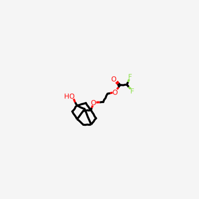 O=C(OCCOC12CC3CC(CC(O)(C3)C1)C2)C(F)F